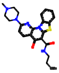 COCCNC(=O)c1c(=O)c2ccc(N3CCN(C)CC3)nc2n2c1sc1ccccc12